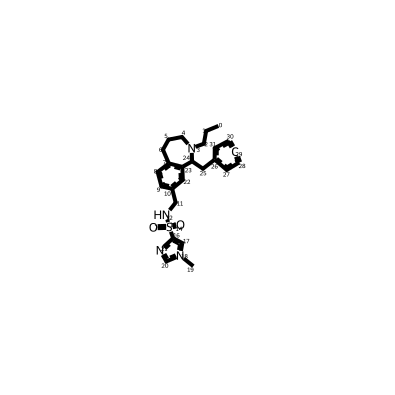 CCCN1CCCc2ccc(CNS(=O)(=O)c3cn(C)cn3)cc2C1Cc1ccccc1